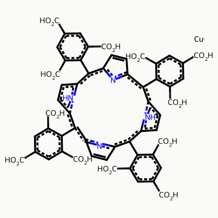 O=C(O)c1cc(C(=O)O)c(-c2c3nc(c(-c4c(C(=O)O)cc(C(=O)O)cc4C(=O)O)c4ccc([nH]4)c(-c4c(C(=O)O)cc(C(=O)O)cc4C(=O)O)c4nc(c(-c5c(C(=O)O)cc(C(=O)O)cc5C(=O)O)c5ccc2[nH]5)C=C4)C=C3)c(C(=O)O)c1.[Cu]